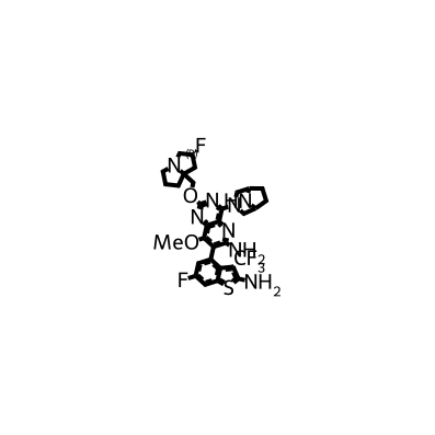 COc1c(-c2cc(F)cc3sc(N)c(C(F)(F)F)c23)c(N)nc2c(N3CC4CCC(C3)N4)nc(OCC34CCCN3C[C@H](F)C4)nc12